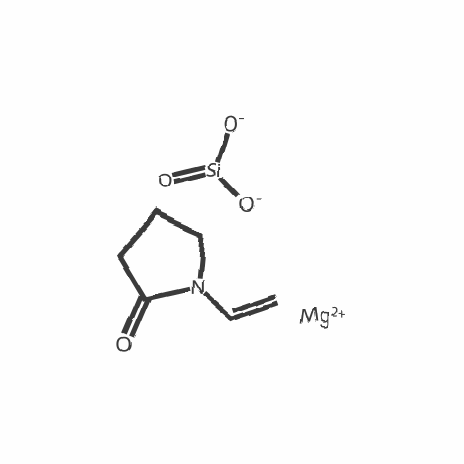 C=CN1CCCC1=O.O=[Si]([O-])[O-].[Mg+2]